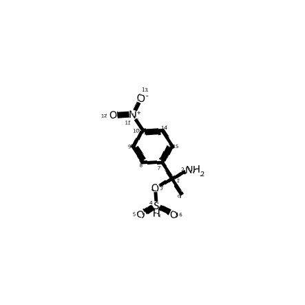 CC(N)(O[SH](=O)=O)c1ccc([N+](=O)[O-])cc1